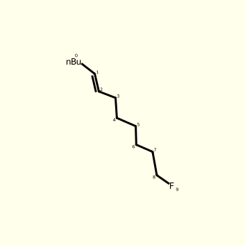 CCCCC=CCCCCCCF